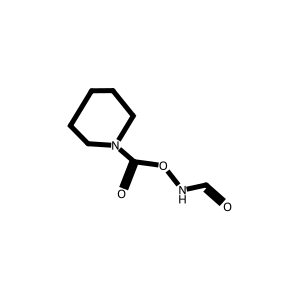 O=CNOC(=O)N1CCCCC1